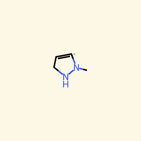 CN1[C]=CCN1